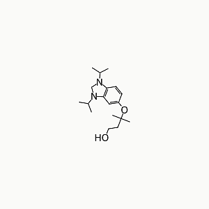 CC(C)N1CN(C(C)C)c2cc(OC(C)(C)CCO)ccc21